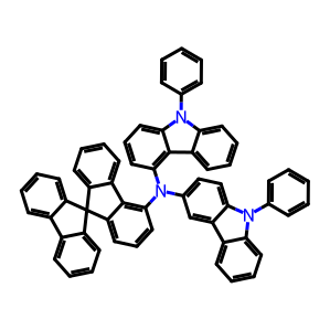 c1ccc(-n2c3ccccc3c3cc(N(c4cccc5c4-c4ccccc4C54c5ccccc5-c5ccccc54)c4cccc5c4c4ccccc4n5-c4ccccc4)ccc32)cc1